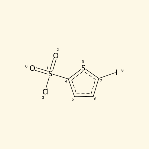 O=S(=O)(Cl)c1ccc(I)s1